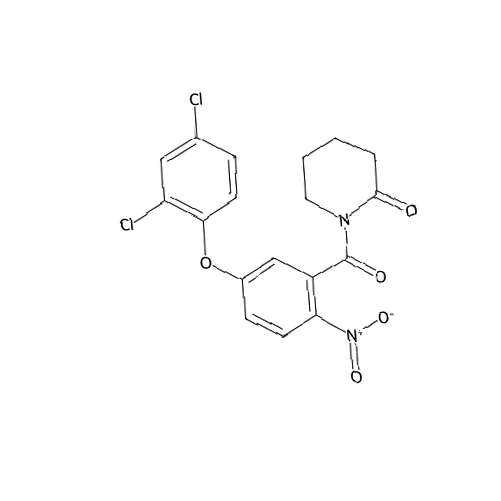 O=C1CCCCN1C(=O)c1cc(Oc2ccc(Cl)cc2Cl)ccc1[N+](=O)[O-]